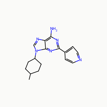 CC1CCC(n2cnc3c(N)nc(-c4ccncc4)nc32)CC1